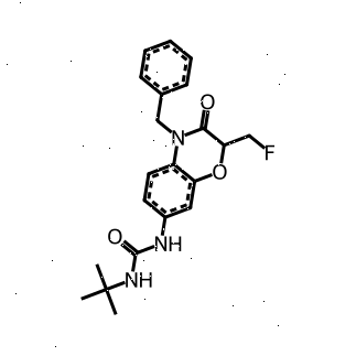 CC(C)(C)NC(=O)Nc1ccc2c(c1)OC(CF)C(=O)N2Cc1ccccc1